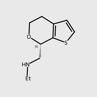 CCNC[C@@H]1OCCc2ccsc21